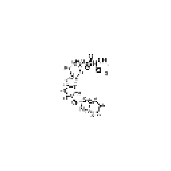 CN(C)S(=O)(=O)NC1CCN(Cc2ccc(Oc3nc4ccccc4s3)cc2)CC1